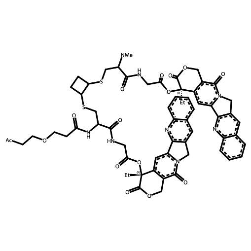 CC[C@]1(OC(=O)CNC(=O)C(CSC2CCC2SCC(NC(=O)CCOCCC(C)=O)C(=O)NCC(=O)O[C@@]2(CC)C(=O)OCc3c2cc2n(c3=O)Cc3cc4ccccc4nc3-2)NC)C(=O)OCc2c1cc1n(c2=O)Cc2cc3ccccc3nc2-1